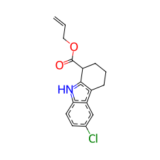 C=CCOC(=O)C1CCCc2c1[nH]c1ccc(Cl)cc21